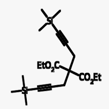 CCOC(=O)C(CC#C[Si](C)(C)C)(CC#C[Si](C)(C)C)C(=O)OCC